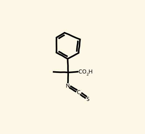 CC(N=C=S)(C(=O)O)c1ccccc1